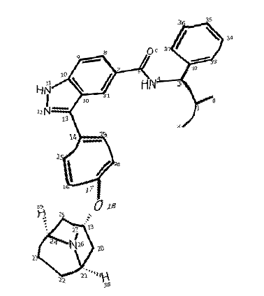 CC(C)C(NC(=O)c1ccc2[nH]nc(-c3ccc(O[C@@H]4C[C@H]5CC[C@@H](C4)N5C)cc3)c2c1)c1ccccc1